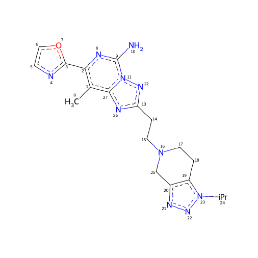 Cc1c(-c2ncco2)nc(N)n2nc(CCN3CCc4c(nnn4C(C)C)C3)nc12